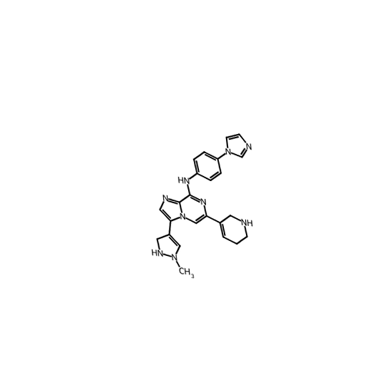 CN1C=C(c2cnc3c(Nc4ccc(-n5ccnc5)cc4)nc(C4=CCCNC4)cn23)CN1